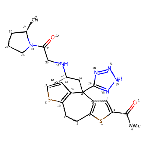 CNC(=O)c1cc2c(s1)CCc1sccc1C2(C[C@H](C)NCC(=O)N1CCC[C@H]1C#N)c1nn[nH]n1